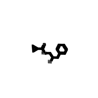 CCC(CNC(=O)C1CC1)Cc1ccccc1